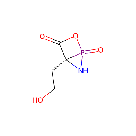 O=C1OP2(=O)N[C@@]12CCO